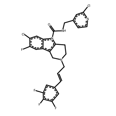 O=C(NCc1ccnc(Cl)c1)n1c2c(c3cc(F)c(Cl)cc31)CN(CC=Cc1cc(F)c(F)c(F)c1)CC2